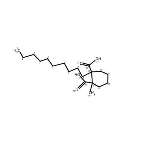 CCCCCCCCCCC1(C(=O)O)CCCCC1(C)C(=O)O